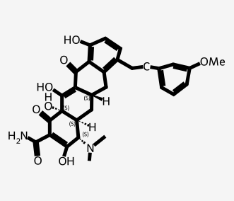 COc1cccc(CCc2ccc(O)c3c2C[C@@H]2C[C@H]4[C@H](N(C)C)C(O)=C(C(N)=O)C(=O)[C@@]4(O)C(O)=C2C3=O)c1